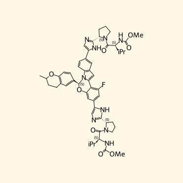 COC(=O)N[C@H](C(=O)N1CCC[C@H]1c1ncc(-c2cc(F)c3c(c2)O[C@@H](c2ccc4c(c2)CCC(C)O4)n2c-3cc3cc(-c4cnc([C@@H]5CCCN5C(=O)[C@@H](NC(=O)OC)C(C)C)[nH]4)ccc32)[nH]1)C(C)C